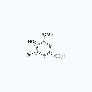 COc1cc(C(=O)O)cc(Br)c1O